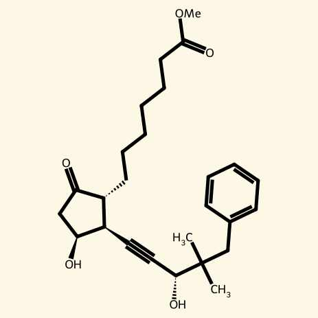 COC(=O)CCCCCC[C@H]1C(=O)C[C@H](O)[C@@H]1C#C[C@@H](O)C(C)(C)Cc1ccccc1